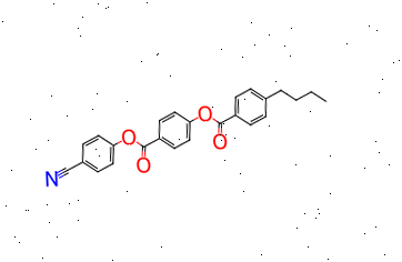 CCCCc1ccc(C(=O)Oc2ccc(C(=O)Oc3ccc(C#N)cc3)cc2)cc1